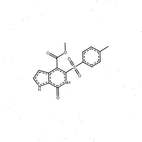 COC(=O)c1c(S(=O)(=O)c2ccc(C)cc2)[nH]c(=O)c2[nH]ccc12